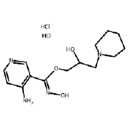 Cl.Cl.Nc1ccncc1C(=NO)OCC(O)CN1CCCCC1